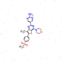 Cc1c(-c2ccc(S(C)(=O)=O)cc2)sc2c(N3CCOCC3)nc(-c3cnc(N)nc3)nc12